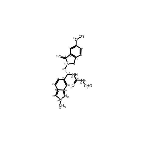 CCOc1ccc2c(c1)C(=O)N(C[C@H](NC(=O)NC=O)c1ccc3cn(C)nc3c1)C2